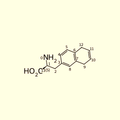 N[C@@H](Cc1ccc2c(c1)CC=CC2)C(=O)O